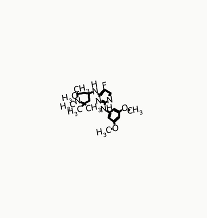 COc1cc(Nc2ncc(F)c(NC3CC(C)(C)N(C)C(C)(C)C3)n2)cc(OC)c1